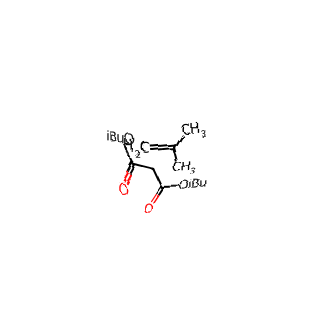 C=C(C)C.CC(C)COC(=O)CC(=O)OCC(C)C